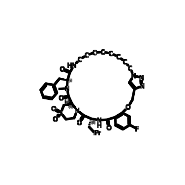 CC(C)C[C@H]1NC(=O)c2ccc(F)cc2OCc2cn(nn2)CCCCCCCCNC(=O)[C@H](Cc2ccccc2)N(C)C(=O)[C@H]2CS(=O)(=O)CCN2C1=O